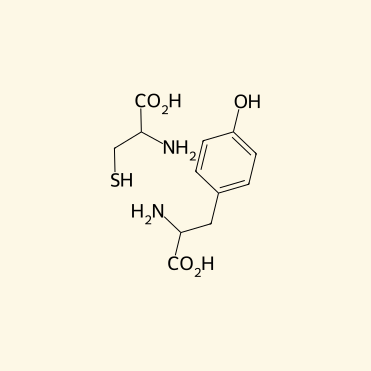 NC(CS)C(=O)O.NC(Cc1ccc(O)cc1)C(=O)O